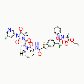 CCCOC(=O)[C@H](C)NP(=O)(Oc1ccccc1)C(F)c1ccc2sc(C(=O)N[C@H]3CCCC[C@H]4CC[C@@H](C(=O)N5C(=O)N(c6cncc(F)c6)C(=O)C56CC6)N4C3=O)cc2c1